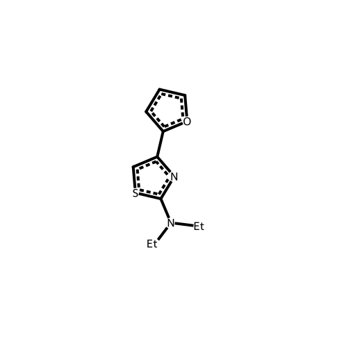 CCN(CC)c1nc(-c2ccco2)cs1